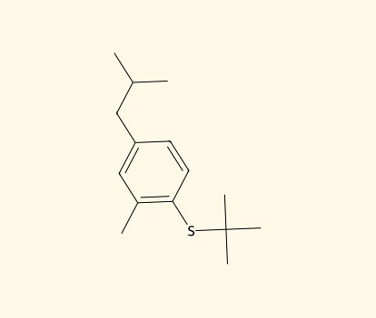 Cc1cc(CC(C)C)ccc1SC(C)(C)C